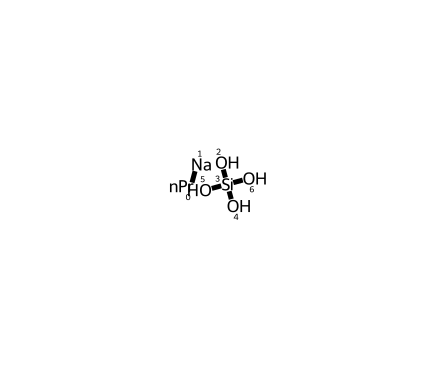 CC[CH2][Na].O[Si](O)(O)O